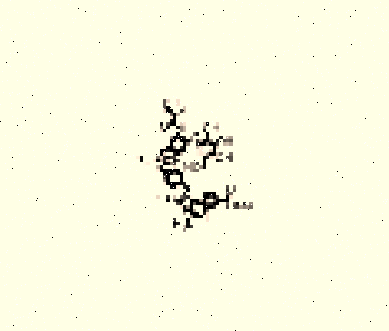 CCCCc1nc2c(N)nc3cc(C(=O)OC)ccc3c2n1Cc1ccc(C[N+](C)(C)Cc2ccc(O[C@H]3O[C@H](CO)[C@@H](O)[C@H](O)[C@@H]3O)c(NC(=O)CCN)c2)cc1